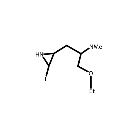 CCOCC(CC1NC1I)NC